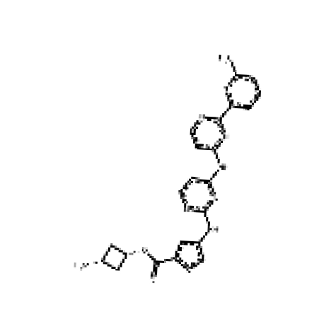 Cc1cccc(-c2nccc(Nc3ccnc(Nc4csc(C(=O)O[C@H]5C[C@@H](N)C5)c4)n3)n2)n1